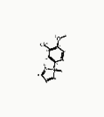 COc1ccc([N+]2(C)C=CC=N2)cc1Cl